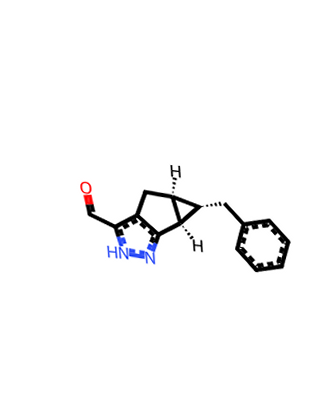 O=Cc1[nH]nc2c1C[C@H]1[C@H](Cc3ccccc3)[C@@H]21